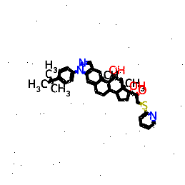 CC(C)(C)c1ccc(-n2ncc3c2C=C2CCC4C([C@@H](O)CC5(C)C4CC[C@]5(O)C(=O)CSc4ccccn4)C2(C)C3)cc1